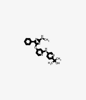 CNc1nc(-c2ccccc2)c(Oc2ccnc(Nc3ccc(C(C)(C)O)nc3)c2)s1